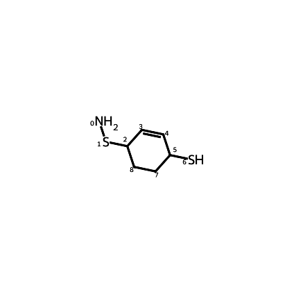 NSC1C=CC(S)CC1